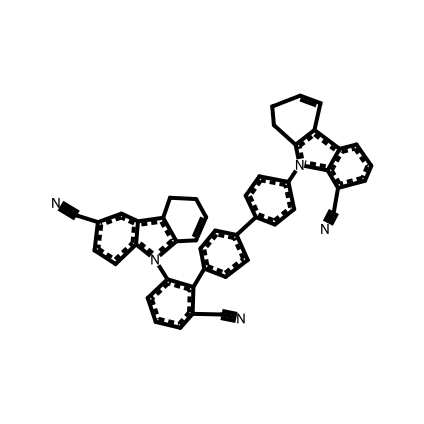 N#Cc1ccc2c(c1)c1c(n2-c2cccc(C#N)c2-c2ccc(-c3ccc(-n4c5c(c6cccc(C#N)c64)C=CCC5)cc3)cc2)C=CCC1